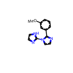 COc1cccc(-c2nccn2-c2ncc[nH]2)c1